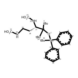 CC(C)(C)C(O[Si](c1ccccc1)(c1ccccc1)C(C)(C)C)([C@H](CCNC(=O)O)NC(=O)O)C(C)(C)C